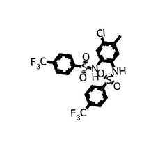 Cc1cc(NS(=O)(=O)c2ccc(C(F)(F)F)cc2)c(NS(=O)(=O)c2ccc(C(F)(F)F)cc2)cc1Cl